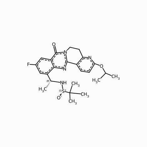 CC(C)Oc1ccc2c(n1)CCn1c-2nc2c([C@@H](C)N[S@+]([O-])C(C)(C)C)cc(F)cc2c1=O